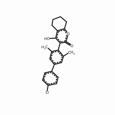 Cc1cc(-c2ccc(Cl)cc2)cc(C)c1-c1c(O)c2c(oc1=O)CCCC2